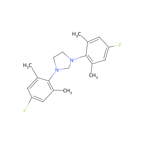 Cc1cc(F)cc(C)c1N1CCN(c2c(C)cc(F)cc2C)C1